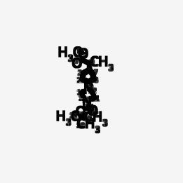 COC(=O)C(C)c1ccc(N2CCN(C(=O)OC(C)(C)C)CC2)cc1